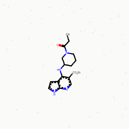 CCOC(=O)c1cnc2[nH]ccc2c1NC1CCCN(C(=O)CC#N)C1